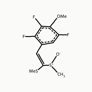 COc1c(F)cc(C=C(SC)[S+](C)[O-])c(F)c1F